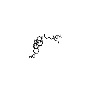 CCCC(C)(O)CCCC(C)[C@H]1CC[C@H]2[C@@H]3CC=C4C[C@@H](O)CC[C@]4(C)[C@H]3CC[C@]12C